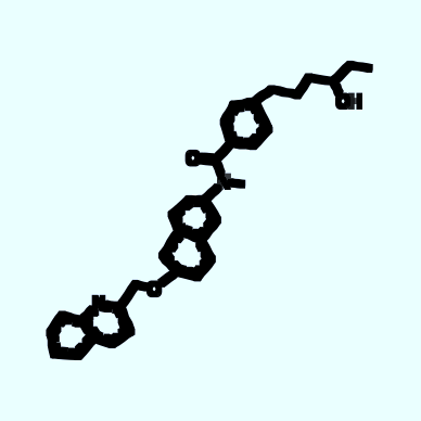 CCC(O)CCCc1ccc(C(=O)N(C)c2ccc3cc(OCc4ccc5ccccc5n4)ccc3c2)cc1